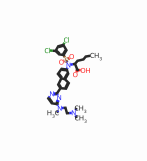 CCCCC(C(=O)O)N(c1ccc2cc(-c3nccc(N(C)CCN(C)C)n3)ccc2c1)S(=O)(=O)c1cc(Cl)cc(Cl)c1